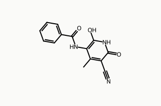 Cc1c(NC(=O)c2ccccc2)c(O)[nH]c(=O)c1C#N